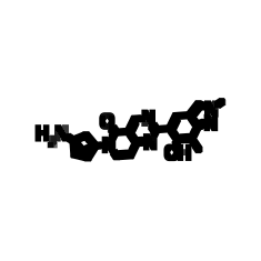 Cc1c(O)c(-c2ncc3c(=O)n(C45CCC(N)(C4)C5)ccc3n2)cc2cn(C)nc12